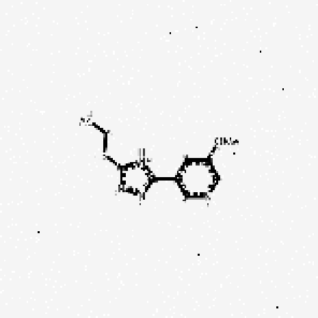 COc1cncc(-c2nnc(SCC(C)=O)[nH]2)c1